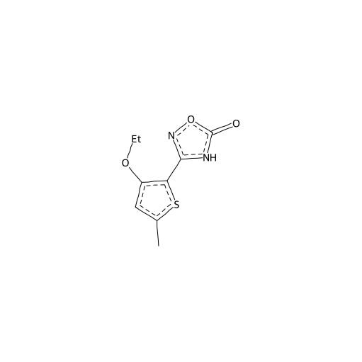 CCOc1cc(C)sc1-c1noc(=O)[nH]1